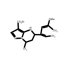 C/C=C(\C=C(/C)OC)C1CC(C(F)(F)F)n2ncc(C(=O)OCC)c2N1